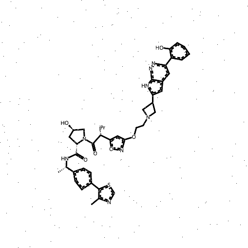 Cc1ncsc1-c1ccc([C@H](C)NC(=O)[C@@H]2C[C@@H](O)CN2C(=O)[C@@H](c2cc(OCCN3CC(c4cc5cc(-c6ccccc6O)nnc5[nH]4)C3)no2)C(C)C)cc1